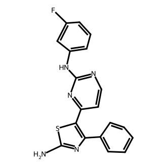 Nc1nc(-c2ccccc2)c(-c2ccnc(Nc3cccc(F)c3)n2)s1